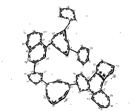 c1ccc(-c2cc(-c3ccccc3)cc(-c3cc(-c4cccc(-c5cccc(-c6ccc7c8ccccc8c8ccccc8c7c6)c5)c4)nc4ccccc34)c2)cc1